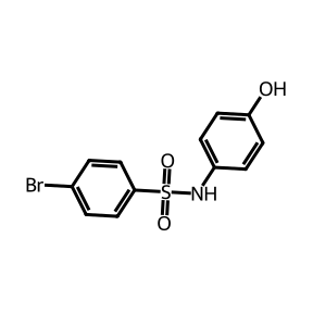 O=S(=O)(Nc1ccc(O)cc1)c1ccc(Br)cc1